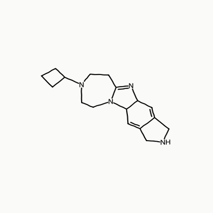 C1=C2CNCC2=CC2C1N=C1CCN(C3CCC3)CCN12